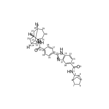 O=C(NC1CC2CCC1C2)c1ccc2[nH]c(-c3ccc(C(=O)NC4[C@@H]5C[C@@H]6C[C@@H]4CCC[C@H]6C5)cc3)nc2c1